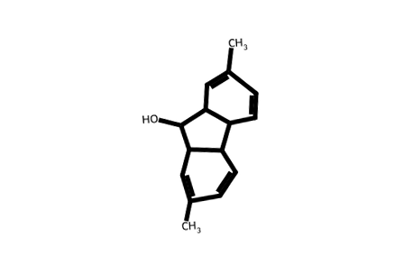 CC1=CC2C(O)C3C=C(C)C=CC3C2C=C1